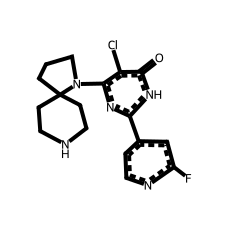 O=c1[nH]c(-c2ccnc(F)c2)nc(N2CCCC23CCNCC3)c1Cl